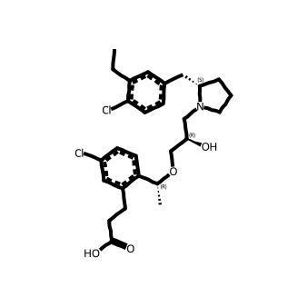 CCc1cc(C[C@@H]2CCCN2C[C@@H](O)CO[C@H](C)c2ccc(Cl)cc2CCC(=O)O)ccc1Cl